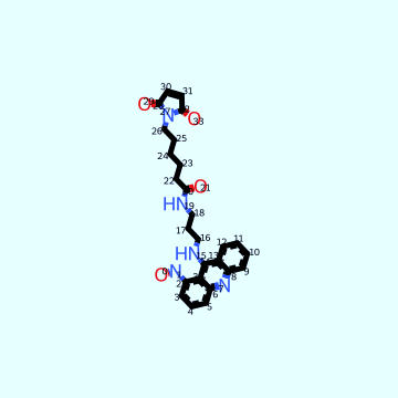 O=Nc1cccc2nc3ccccc3c(NCCCNC(=O)CCCCCN3C(=O)C=CC3=O)c12